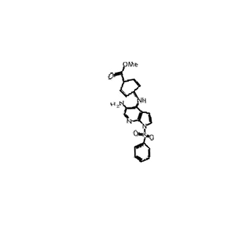 COC(=O)C1CCC(Nc2c(N)cnc3c2ccn3S(=O)(=O)c2ccccc2)CC1